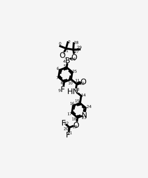 CC1(C)OB(c2ccc(F)c(C(=O)NCc3ccc(OC(F)F)nc3)c2)OC1(C)C